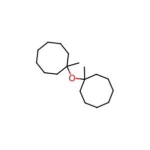 CC1(OC2(C)CCCCCCC2)CCCCCCC1